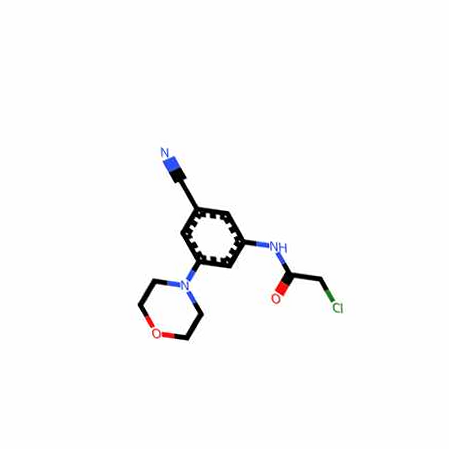 N#Cc1cc(NC(=O)CCl)cc(N2CCOCC2)c1